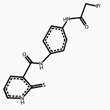 CC(C)CC(=O)Nc1ccc(NC(=O)c2ccc[nH]c2=S)cc1